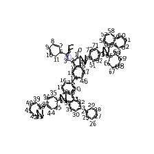 Cc1c(/C=C(\F)C2C=CC=CC2)c2cc(-c3ccc4c(c3)c3cc(-c5ccccc5)ccc3n4C3C=CC(c4ccccn4)=CC3)ccc2n1-c1ccc(N(c2cccc3ccccc23)C2CCCCC2)cc1